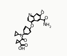 COc1cc2nccc(Oc3ccc(N(C(=O)C4(C(=O)O)CC4)C4CC4)cc3)c2cc1C(N)=O